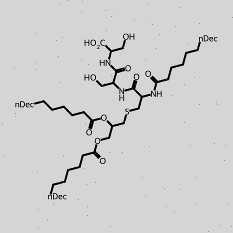 CCCCCCCCCCCCCCCC(=O)NC(CSCC(COC(=O)CCCCCCCCCCCCCCC)OC(=O)CCCCCCCCCCCCCCC)C(=O)NC(CO)C(=O)NC(CO)C(=O)O